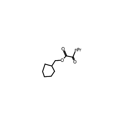 CCCC(=O)C(=O)OCC1CCCCC1